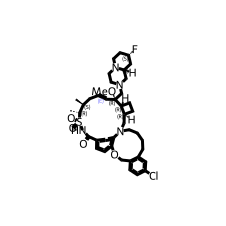 CO[C@@]1(CN2CCN3CC[C@H](F)C[C@@H]3C2)/C=C/C[C@H](C)[C@@H](C)S(=O)(=O)NC(=O)c2ccc3c(c2)N(CCCCc2cc(Cl)ccc2CO3)C[C@@H]2CC[C@H]21